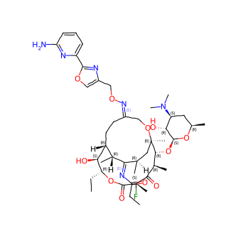 CCC(=O)/N=C1\[C@H](C)C[C@@]2(C)OC/C(=N/OCc3coc(-c4cccc(N)n4)n3)CC[C@@H]([C@H](O)[C@@H](CC)OC(=O)[C@@](C)(F)C(=O)[C@H](C)[C@H]2O[C@@H]2O[C@H](C)C[C@H](N(C)C)[C@H]2O)[C@H]1C